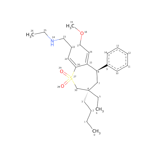 CCCC[C@@]1(CC)C[C@H](c2ccccc2)C(=C/COC)/C(=C\CCNCC)S(=O)(=O)C1